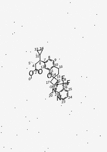 COC(=O)[C@H](C)[C@H](c1ccc2c(c1)OC1(CC2)CC(N(C)c2ncccc2C(F)(F)F)C1)C1CC1